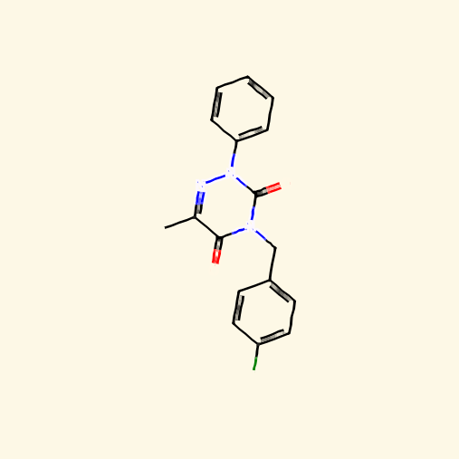 Cc1nn(-c2ccccc2)c(=O)n(Cc2ccc(Cl)cc2)c1=O